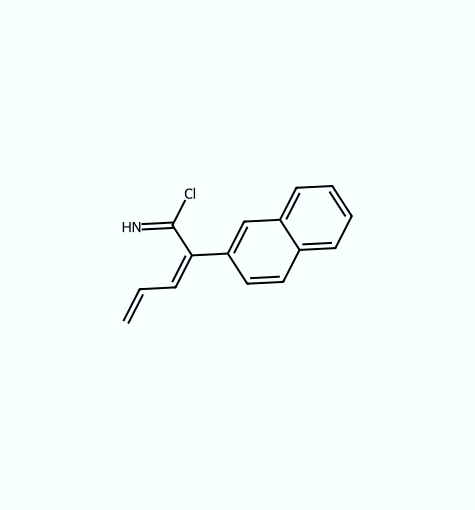 C=C/C=C(\C(=N)Cl)c1ccc2ccccc2c1